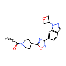 CC(C)(C)CC(=O)N1CCC(c2nc(-c3ccc4cnn(C5COC5)c4c3)no2)CC1